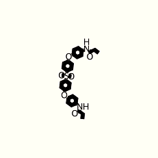 C=CC(=O)Nc1ccc(Oc2ccc(S(=O)(=O)c3ccc(Oc4ccc(NC(=O)C=C)cc4)cc3)cc2)cc1